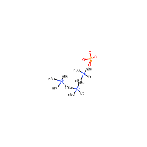 CCCC[N+](CC)(CCCC)CCCC.CCCC[N+](CC)(CCCC)CCCC.CCCC[N+](CC)(CCCC)CCCC.O=P([O-])([O-])[O-]